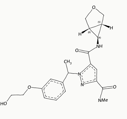 CNC(=O)c1cc(C(=O)N[C@H]2[C@@H]3COC[C@@H]32)n(C(C)c2cccc(OCCO)c2)n1